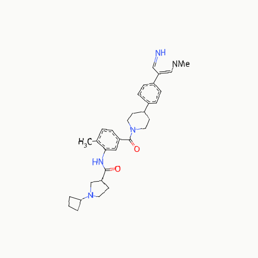 CN/C=C(\C=N)c1ccc(C2CCN(C(=O)c3ccc(C)c(NC(=O)C4CCN(C5CCC5)C4)c3)CC2)cc1